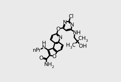 CCCNc1c(C(N)=O)oc2ccc3nc(Oc4cc(NCC(C)(C)O)nc(Cl)n4)ccc3c12